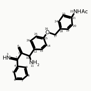 C=C(C(=N)c1ccccc1)C(N)c1ccc(OCc2ccc(NC(C)=O)cc2)cc1